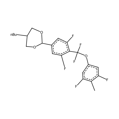 CCCCC1COC(c2cc(F)c(C(F)(F)Oc3cc(F)c(C)c(F)c3)c(F)c2)OC1